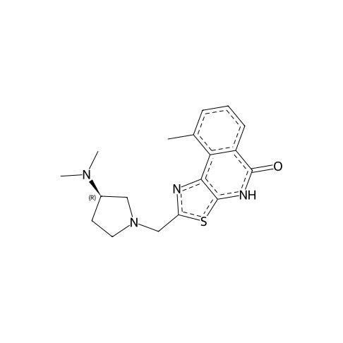 Cc1cccc2c(=O)[nH]c3sc(CN4CC[C@@H](N(C)C)C4)nc3c12